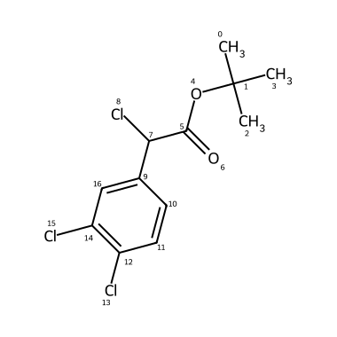 CC(C)(C)OC(=O)C(Cl)c1ccc(Cl)c(Cl)c1